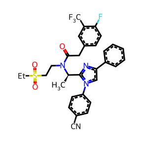 CCS(=O)(=O)CCN(C(=O)Cc1ccc(F)c(C(F)(F)F)c1)[C@H](C)c1nc(-c2ccccc2)cn1-c1ccc(C#N)cc1